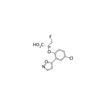 O=C(O)[C@H](CF)Oc1ccc(Cl)cc1-c1ccno1